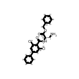 NC[C@H](NC(=O)c1c(Cl)cc(-c2ccccc2)cc1Cl)C(=O)OCc1ccccc1